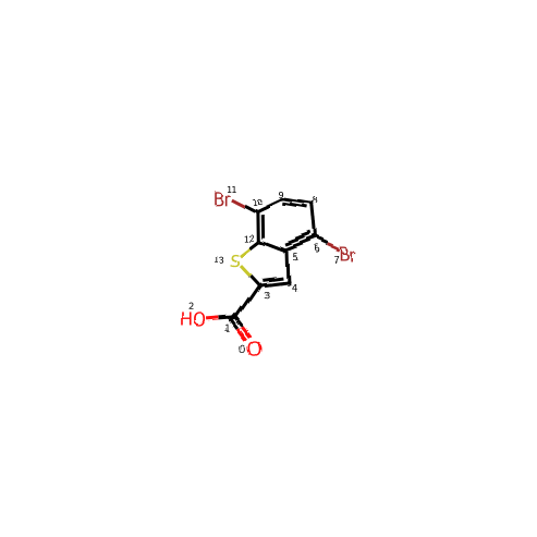 O=C(O)c1cc2c(Br)ccc(Br)c2s1